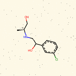 C[C@@H](CO)NCC(O)c1cccc(Cl)c1